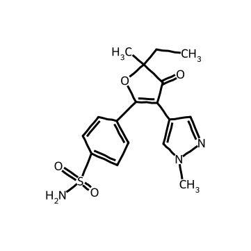 CCC1(C)OC(c2ccc(S(N)(=O)=O)cc2)=C(c2cnn(C)c2)C1=O